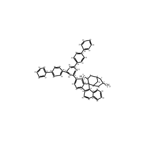 CC1CC2CC(C)C3(c4cc(-c5nc(-c6ccc(-c7ccccc7)cc6)nc(-c6ccc(-c7ccccc7)cc6)n5)ccc4-c4ccc5ccccc5c43)C(C1)C2